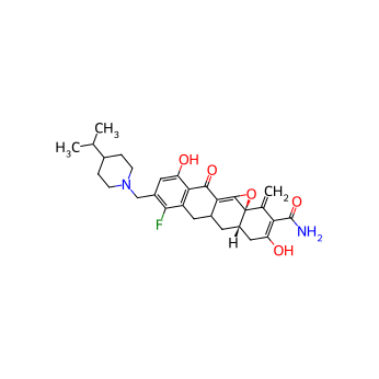 C=C1C(C(N)=O)=C(O)C[C@@H]2CC3Cc4c(F)c(CN5CCC(C(C)C)CC5)cc(O)c4C(=O)C3=C3O[C@]132